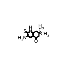 CC1(C)CC(=O)c2cc(N)c(=S)[nH]c2C1